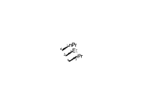 CC(C)C.CCC.CCCC